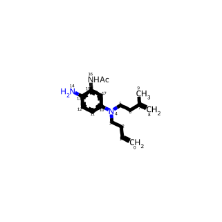 C=CCCN(CCC(=C)C)c1ccc(N)c(NC(C)=O)c1